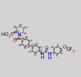 O=C(Nc1ccc(OC(F)(F)F)cc1)Nc1ccc(-c2ccc(C(=O)N3CCCC[C@H]3C(=O)O)cc2)cc1